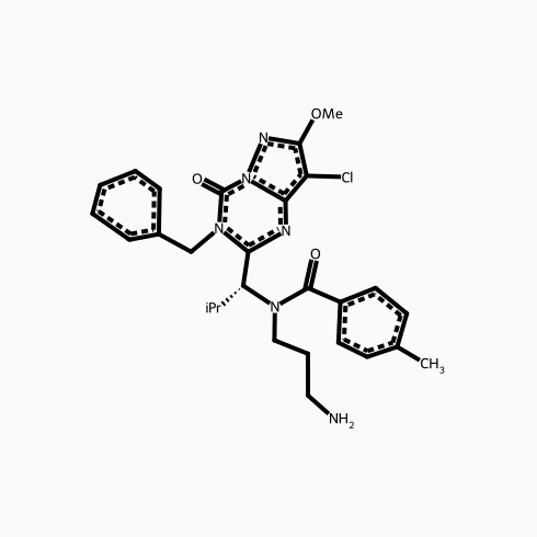 COc1nn2c(=O)n(Cc3ccccc3)c([C@@H](C(C)C)N(CCCN)C(=O)c3ccc(C)cc3)nc2c1Cl